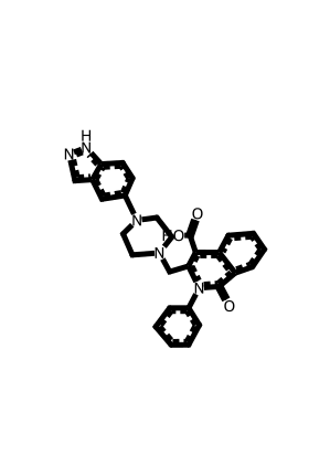 O=C(O)c1c(CN2CCN(c3ccc4[nH]ncc4c3)CC2)n(-c2ccccc2)c(=O)c2ccccc12